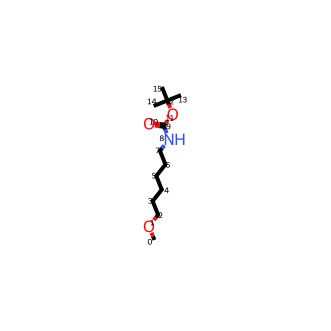 COCCCCCCNC(=O)OC(C)(C)C